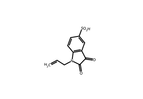 C=CCN1C(=O)C(=O)c2cc(S(=O)(=O)O)ccc21